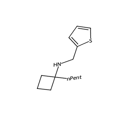 CCCCCC1(NCc2cccs2)CCC1